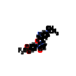 CN(C)c1ccc2c(CN3C(=O)N(c4ccc(S(=O)(=O)C(F)(F)F)cc4)C(=O)C34CC4)ccnc2c1